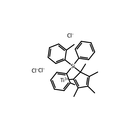 CC1=C(C)C(C)([Si](c2ccccc2)(c2ccccc2C)c2ccccc2C)[C]([Ti+3])=C1C.[Cl-].[Cl-].[Cl-]